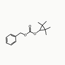 CC1(C)C(OC(=O)OCc2ccccc2)C1(C)C